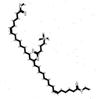 CCOC(=O)CCCC/C=C\CCCCCCCCC(CCCCCCCC/C=C\CCCCC(=O)OC)OC(=O)CCC[N+](C)(C)C